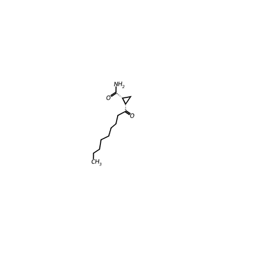 CCCCCCCCC(=O)[C@H]1C[C@H]1C(N)=O